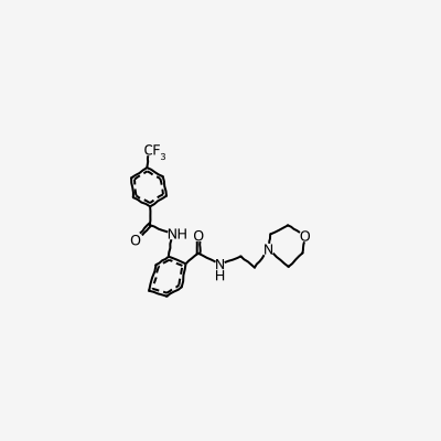 O=C(Nc1ccccc1C(=O)NCCN1CCOCC1)c1ccc(C(F)(F)F)cc1